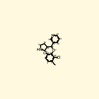 Cc1ccc(Cl)c(OC(c2cccnc2)C2CCNC2)c1Cl